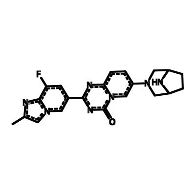 Cc1cn2cc(-c3nc(=O)n4cc(N5CC6CCC(C5)N6)ccc4n3)cc(F)c2n1